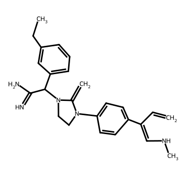 C=C/C(=C\NC)c1ccc(N2CCN(C(C(=N)N)c3cccc(CC)c3)C2=C)cc1